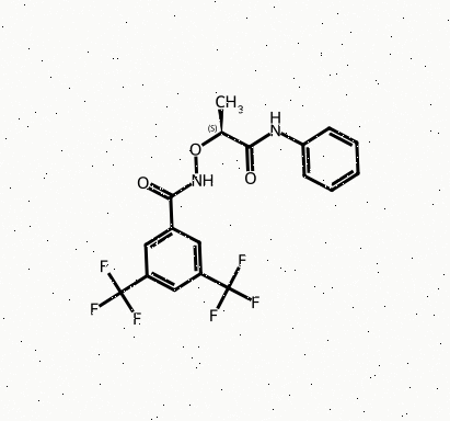 C[C@H](ONC(=O)c1cc(C(F)(F)F)cc(C(F)(F)F)c1)C(=O)Nc1ccccc1